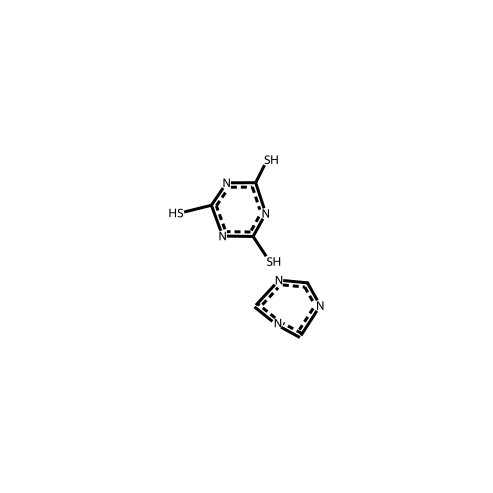 Sc1nc(S)nc(S)n1.c1ncncn1